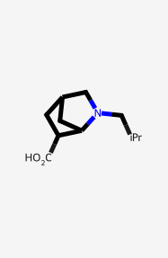 CC(C)CN1CC2CC(C(=O)O)C1C2